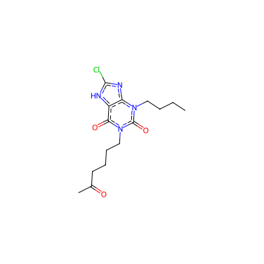 CCCCn1c(=O)n(CCCCC(C)=O)c(=O)c2[nH]c(Cl)nc21